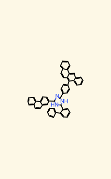 c1ccc(-c2ccccc2C2NC(c3ccc(-c4c5ccccc5cc5c4ccc4ccccc45)cc3)=NC(c3ccc4c(ccc5ccccc54)c3)N2)cc1